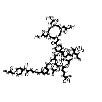 C=NC(=O)CN1CCC(NC(=O)CCSCc2cccc(CSCC(NC(=O)[C@@H](CC(C)C)NC(=O)CCCC(=O)O)C(=O)NC3(C(=O)N[C@@H](CC(C)C)C(=O)N[C@H](C(N)=O)[C@@H](C)CC)CCN(C(=O)CN4CCN(CC(=O)O)CCN(CC(=O)O)CCN(CC(=O)O)CC4)CC3)n2)CC1